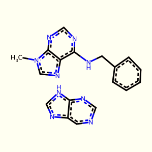 Cn1cnc2c(NCc3ccccc3)ncnc21.c1ncc2nc[nH]c2n1